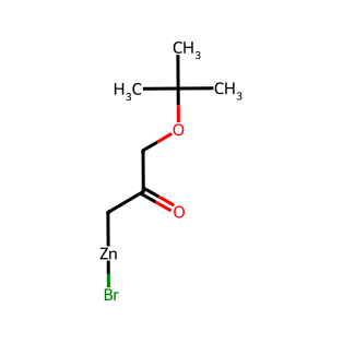 CC(C)(C)OCC(=O)[CH2][Zn][Br]